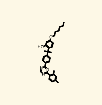 CCCCCCOc1ccc(C(C)(C)c2ccc(-c3ncnc(-c4ccc(C)cc4C)n3)cc2)c(O)c1